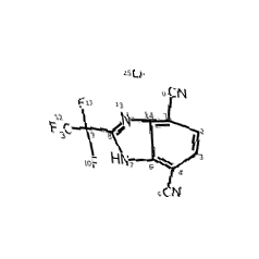 N#Cc1ccc(C#N)c2[nH]c(C(F)(F)C(F)(F)F)nc12.[Li]